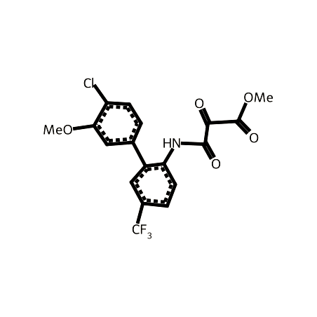 COC(=O)C(=O)C(=O)Nc1ccc(C(F)(F)F)cc1-c1ccc(Cl)c(OC)c1